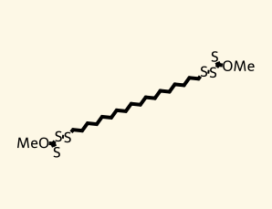 COC(=S)SSCCCCCCCCCCCCCCCCCCSSC(=S)OC